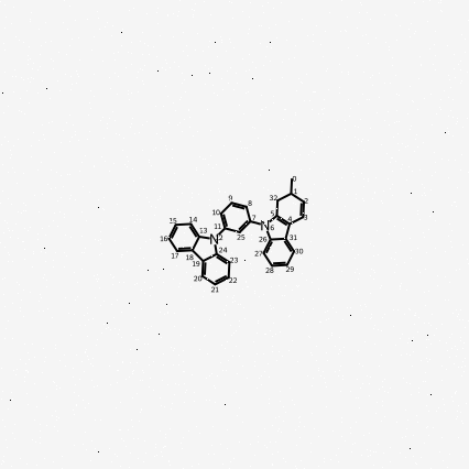 CC1C=Cc2c(n(-c3cccc(-n4c5ccccc5c5ccccc54)c3)c3ccccc23)C1